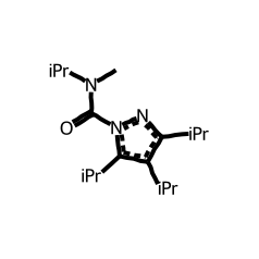 CC(C)c1nn(C(=O)N(C)C(C)C)c(C(C)C)c1C(C)C